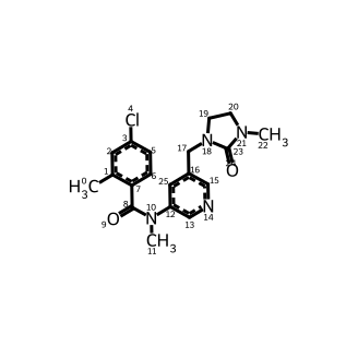 Cc1cc(Cl)ccc1C(=O)N(C)c1cncc(CN2CCN(C)C2=O)c1